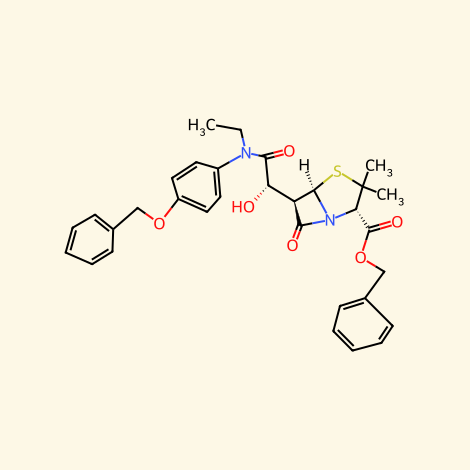 CCN(C(=O)[C@@H](O)[C@@H]1C(=O)N2[C@@H]1SC(C)(C)[C@@H]2C(=O)OCc1ccccc1)c1ccc(OCc2ccccc2)cc1